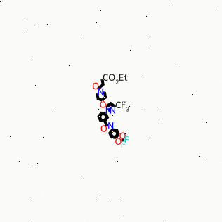 CCOC(=O)CCC(=O)N1CCC(Oc2cc(C(F)(F)F)nn2-c2cccc(C(=O)N(C)c3ccc4c(c3)OC(F)(F)O4)c2)CC1